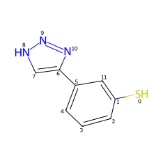 Sc1cccc(-c2c[nH]nn2)c1